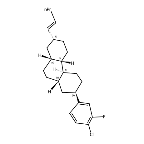 CCCC=C[C@@H]1CC[C@H]2[C@H](CC[C@H]3C[C@H](c4ccc(Cl)c(F)c4)CC[C@@H]32)C1